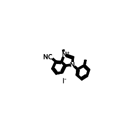 Cc1ccccc1-n1c[n+](C)c2c(C#N)cccc21.[I-]